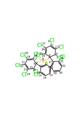 ClC1=C(Cl)C(Cl)C(SSC2(c3ccccc3Cl)C(Cl)=C(Cl)C(Cl)=C(Cl)C2Cl)(c2ccccc2Cl)C(Cl)=C1Cl